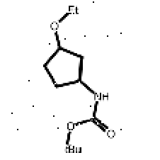 CCOC1CCC(NC(=O)OC(C)(C)C)C1